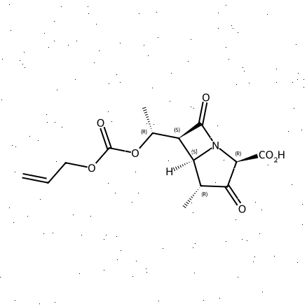 C=CCOC(=O)O[C@H](C)[C@H]1C(=O)N2[C@@H](C(=O)O)C(=O)[C@H](C)[C@@H]12